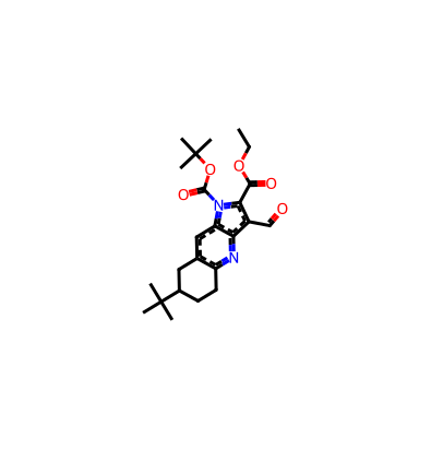 CCOC(=O)c1c(C=O)c2nc3c(cc2n1C(=O)OC(C)(C)C)CC(C(C)(C)C)CC3